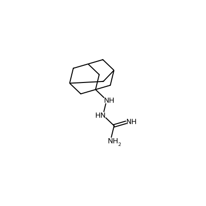 N=C(N)NNC12CC3CC(CC(C3)C1)C2